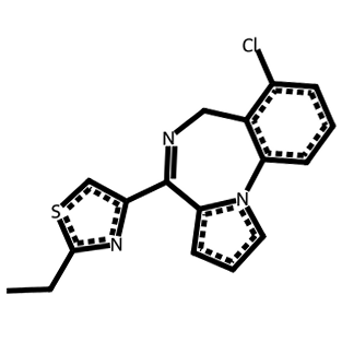 CCc1nc(C2=NCc3c(Cl)cccc3-n3cccc32)cs1